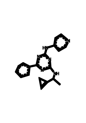 CC(Nc1nc(Nc2ccncc2)nc(-c2ccccc2)n1)C1=CC1